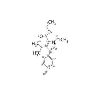 CCOC(=O)c1c(C(C)C)c(-c2ccc(F)cc2)cn1CC